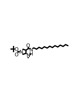 CCCCCCCCCCCCCCNC(=O)C1CN(C(=O)OC(C)(C)C)C[C@@H]1N(C)C